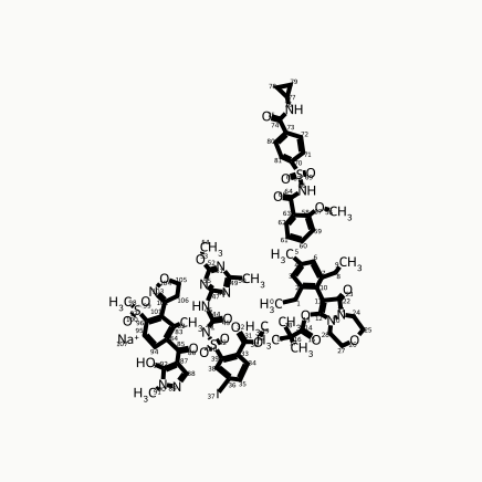 CCc1cc(C)cc(CC)c1-c1c(OC(=O)C(C)(C)C)n2n(c1=O)CCOCC2.COC(=O)c1ccc(I)cc1S(=O)(=O)[N-]C(=O)Nc1nc(C)nc(OC)n1.COc1ccccc1C(=O)NS(=O)(=O)c1ccc(C(=O)NC2CC2)cc1.Cc1c(C(=O)c2cnn(C)c2O)ccc(S(C)(=O)=O)c1C1=NOCC1.[Na+]